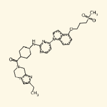 CCc1cn2c(n1)CN(C(=O)C1CCC(Nc3nccc(-n4ccc5c(OCCCS(C)(=O)=O)cccc54)n3)CC1)CC2